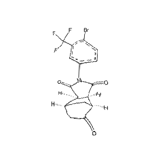 O=C1C[C@@H]2CC[C@H]1[C@@H]1C(=O)N(c3ccc(Br)c(C(F)(F)F)c3)C(=O)[C@H]21